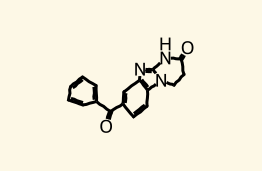 O=C1CCn2c(nc3cc(C(=O)c4ccccc4)ccc32)N1